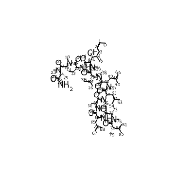 C/C=C\C[C@@H](C)[C@H](O)C(C(=O)N[C@@H](CC)C(=O)N(C)CC(=O)N(C)[C@H](C)C(N)=O)N(C)C(=O)[C@@H](C(C)C)N(C)C(=O)[C@@H](CC(C)C)N(C)C(=O)[C@@H](CC(C)C)N(C)C(=O)[C@H](C)NC(=O)C(CC(C)C)NC(=O)[C@H](C)N(C)C(=O)[C@@H](C)C(C)C